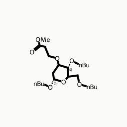 CCCCOCC1O[C@H](OCCCC)CC(OCCC(=O)OC)[C@@H]1OCCCC